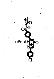 CCCCCn1c(-c2ccc(C(=O)NCC(=O)N(C)C)cc2)cc(=O)n2cc(-c3ccc(Cl)cc3)nc12